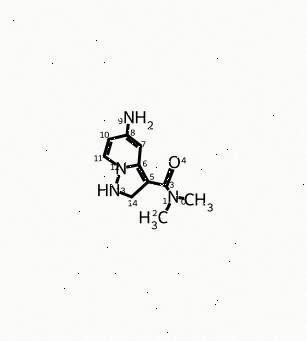 CN(C)C(=O)C1=C2C=C(N)C=CN2NC1